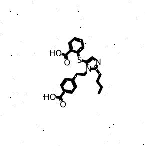 CCCCc1ncc(Sc2ccccc2C(=O)O)n1CCc1ccc(C(=O)O)cc1